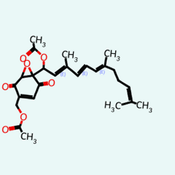 CC(=O)OCC1=CC(=O)C2(C(/C=C(C)/C=C/C=C(\C)CCC=C(C)C)OC(C)=O)OC2C1=O